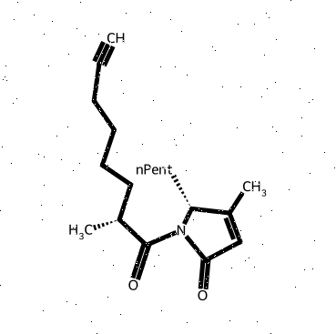 C#CCCCC[C@@H](C)C(=O)N1C(=O)C=C(C)[C@H]1CCCCC